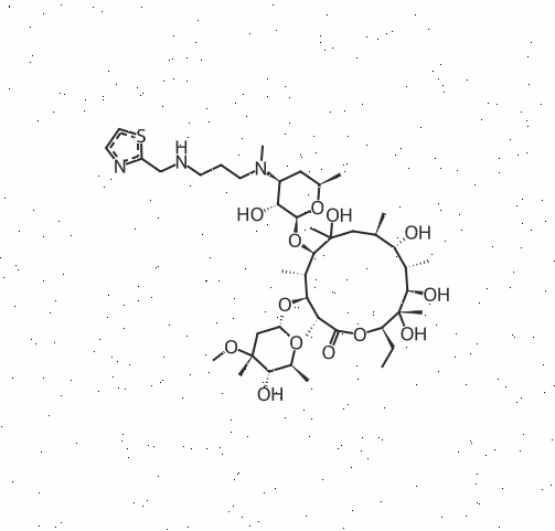 CC[C@H]1OC(=O)[C@H](C)[C@@H](O[C@H]2C[C@@](C)(OC)[C@@H](O)[C@H](C)O2)[C@H](C)[C@@H](O[C@@H]2O[C@H](C)C[C@H](N(C)CCCNCc3nccs3)[C@H]2O)C(C)(O)C[C@@H](C)[C@H](O)[C@H](C)[C@@H](O)[C@]1(C)O